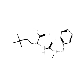 CN(Cc1ccccc1)C(=O)N[C@@H](CCC(C)(C)C)C(=O)O